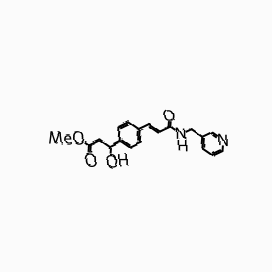 COC(=O)CC(O)c1ccc(C=CC(=O)NCc2cccnc2)cc1